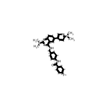 CN(C)c1ccc(-c2ccc3nc(N(C)C)nc(NCc4ccc(NC(=O)c5ccc(F)cc5)cc4)c3c2)cn1